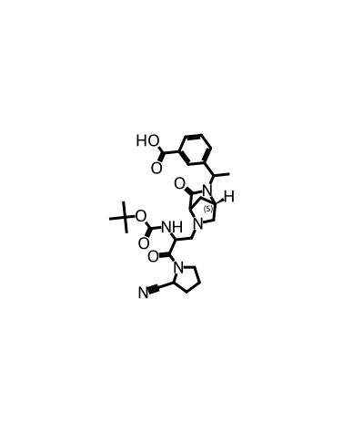 CC(c1cccc(C(=O)O)c1)N1C(=O)C2C[C@H]1CN2CC(NC(=O)OC(C)(C)C)C(=O)N1CCCC1C#N